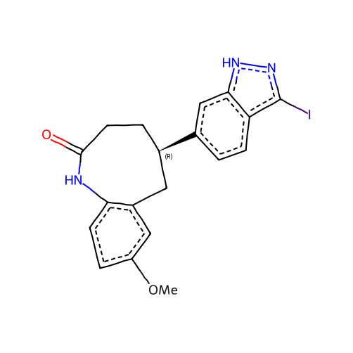 COc1ccc2c(c1)C[C@H](c1ccc3c(I)n[nH]c3c1)CCC(=O)N2